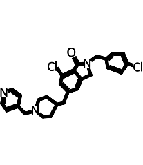 O=C1c2c(Cl)cc(CC3CCN(Cc4ccncc4)CC3)cc2CN1Cc1ccc(Cl)cc1